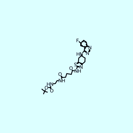 CC(C)(C)OC(=O)NCCNC(=O)CCCC(=O)Nc1nc2c(s1)CC(Nc1ncnc3ccc(F)cc13)CC2